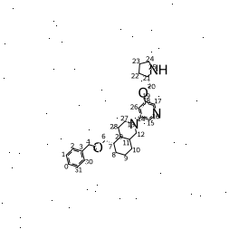 c1ccc(COC[C@H]2CCCC3CN(c4cncc(OC[C@@H]5CCCN5)c4)CCC32)cc1